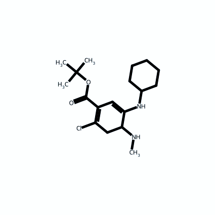 CNC1CC(Cl)=C(C(=O)OC(C)(C)C)C=C1NC1CCCCC1